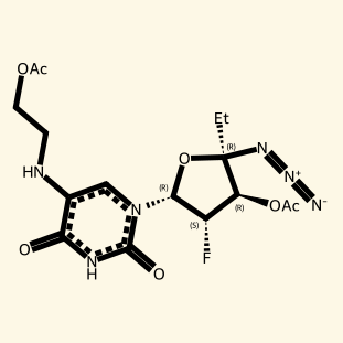 CC[C@@]1(N=[N+]=[N-])O[C@@H](n2cc(NCCOC(C)=O)c(=O)[nH]c2=O)[C@@H](F)[C@@H]1OC(C)=O